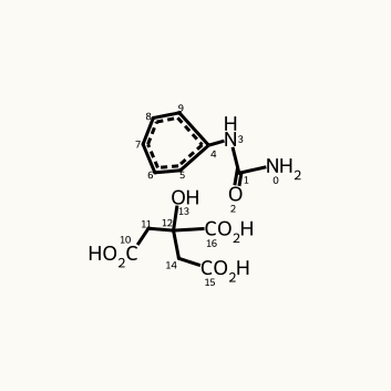 NC(=O)Nc1ccccc1.O=C(O)CC(O)(CC(=O)O)C(=O)O